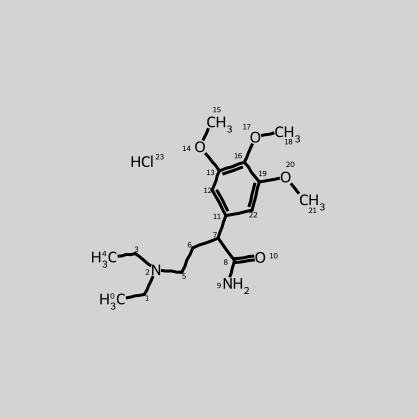 CCN(CC)CCC(C(N)=O)c1cc(OC)c(OC)c(OC)c1.Cl